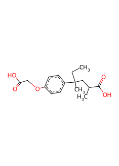 CCC(C)(CC(C)C(=O)O)c1ccc(OCC(=O)O)cc1